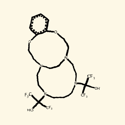 OC(N1CCCN(C(O)(C(F)(F)F)C(F)(F)F)CCN2CCOc3ccccc3OCCN(CC2)CC1)(C(F)(F)F)C(F)(F)F